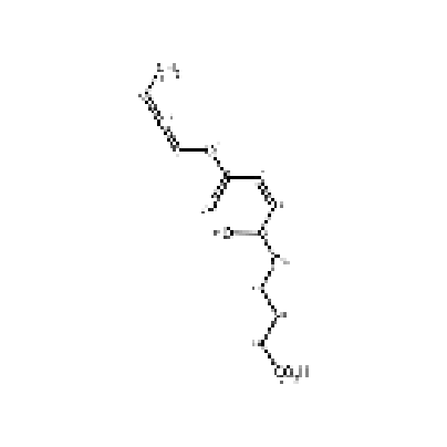 CC=C=COC(=O)/C=C\C(=O)OCCCC(=O)O